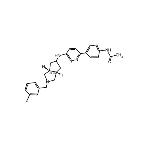 CC(=O)Nc1ccc(-c2ccc(NC3C[C@@H]4CN(Cc5cccc(F)c5)C[C@@H]4C3)nn2)cc1